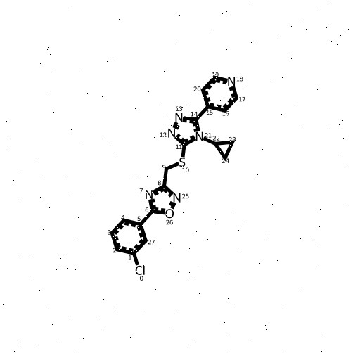 Clc1cccc(-c2nc(CSc3nnc(-c4ccncc4)n3C3CC3)no2)c1